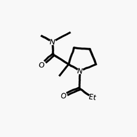 CCC(=O)N1CCCC1(C)C(=O)N(C)C